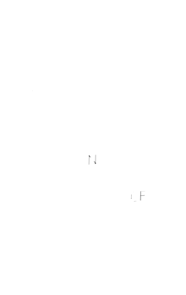 FC(F)(F)c1cccc(C2CC2)n1